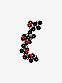 c1ccc(-c2cc3c4c(c2B2c5ccccc5Oc5c2cccc5-c2ccc5c(c2)B2c6ccccc6Oc6c2c(c(-c2ccccc2)c(B2c7ccccc7Oc7c2cccc7-c2cccc7c2Oc2ccccc2B7c2ccccc2-c2cccc7c2Oc2cccc8c2B7c2cccc(-c7ccccc7B7c9ccccc9Oc9ccccc97)c2O8)c6-c2ccccc2)O5)Oc2ccccc2B4c2ccccc2O3)cc1